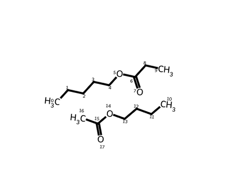 CCCCCOC(=O)CC.CCCCOC(C)=O